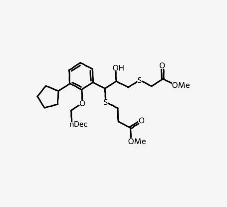 CCCCCCCCCCCOc1c(C2CCCC2)cccc1C(SCCC(=O)OC)C(O)CSCC(=O)OC